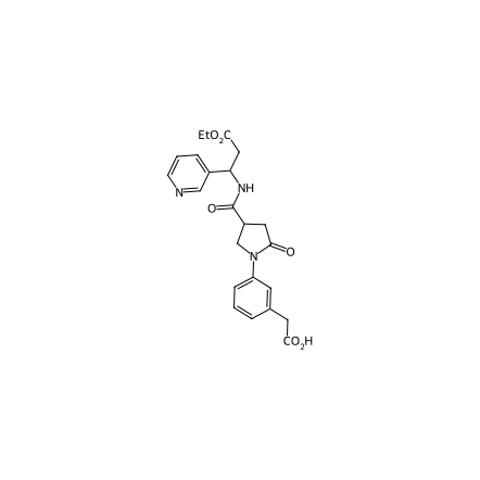 CCOC(=O)CC(NC(=O)C1CC(=O)N(c2cccc(CC(=O)O)c2)C1)c1cccnc1